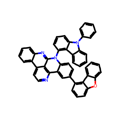 c1ccc(-n2c3ccccc3c3c(N4c5ccc(-c6cccc7oc8ccccc8c67)cc5-c5nccc6c5c4nc4ccccc46)cccc32)cc1